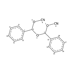 N#COC(OC(OC#N)c1ccccc1)c1ccccc1